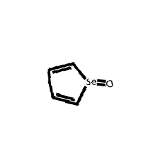 O=[Se]1C=CC=C1